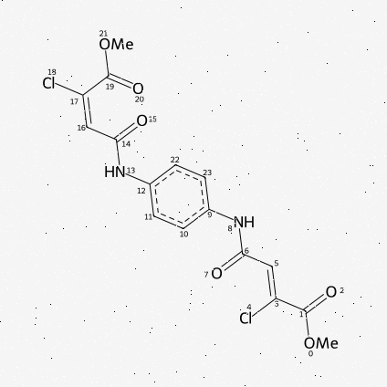 COC(=O)/C(Cl)=C/C(=O)Nc1ccc(NC(=O)/C=C(/Cl)C(=O)OC)cc1